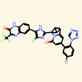 O=c1[nH]c2ccc(-c3[nH]c(C45C6C(c7cc(-c8cc(Cl)ccc8-n8cnnn8)cc(=O)n74)C65)nc3F)cc2nc1C(F)(F)F